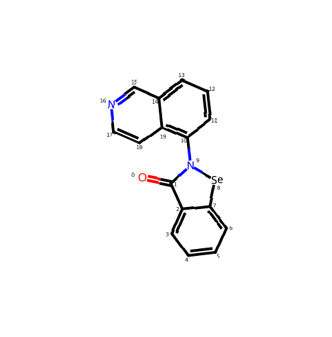 O=c1c2ccccc2[se]n1-c1cccc2cnccc12